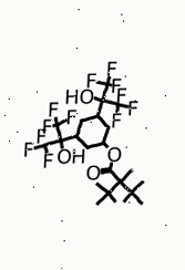 CC(C)(C)C(C)(C(=O)OC1CC(C(O)(C(F)(F)F)C(F)(F)F)CC(C(O)(C(F)(F)F)C(F)(F)F)C1)C(C)(C)C